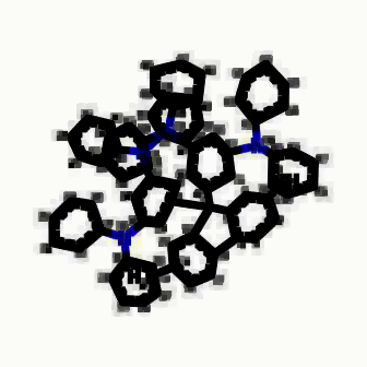 Bc1ccc2c(c1)C(c1cc(N(c3ccccc3)c3ccccc3)cc(N(c3ccccc3)c3ccccc3)c1)(c1cc(N(c3ccccc3)c3ccccc3)cc(N(c3ccccc3)c3ccccc3)c1)c1cc(B)ccc1-2